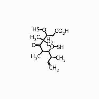 C=C[C@H](C)C(OS)C(C)C(=O)C(C)(C)[C@H](CC(=O)O)OS